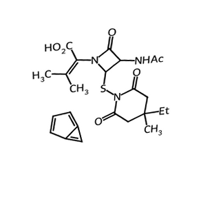 CCC1(C)CC(=O)N(SC2C(NC(C)=O)C(=O)N2C(C(=O)O)=C(C)C)C(=O)C1.c1cc2cc-2c1